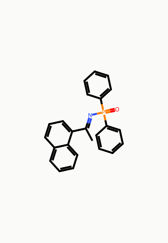 C/C(=N\P(=O)(c1ccccc1)c1ccccc1)c1cccc2ccccc12